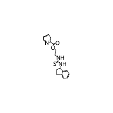 O=C(OCCNC(=S)NC1CCc2ccccc21)c1ccccn1